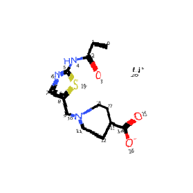 C=CC(=O)Nc1ncc(CN2CCC(C(=O)[O-])CC2)s1.[Li+]